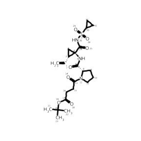 C=C[C@@H]1C[C@]1(NC(=O)[C@@H]1CCCN1C(=O)CCC(=O)OC(C)(C)C)C(=O)NS(=O)(=O)C1CC1